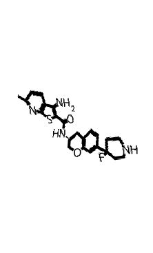 Cc1ccc2c(N)c(C(=O)N[C@H]3COc4cc(C5(F)CCNCC5)ccc4C3)sc2n1